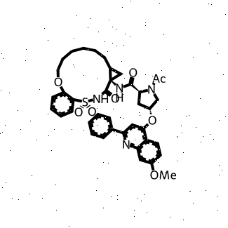 COc1ccc2c(O[C@@H]3C[C@@H](C(=O)N[C@]45CC4CCCCCCOc4ccccc4S(=O)(=O)NC5=O)N(C(C)=O)C3)cc(-c3ccccc3)nc2c1